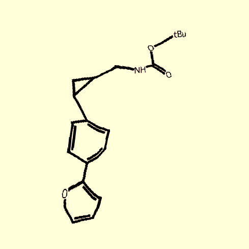 CC(C)(C)OC(=O)NCC1CC1c1ccc(-c2ccco2)cc1